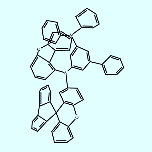 c1ccc(-c2cc(N(c3ccccc3)c3ccccc3)cc(N(c3ccc4c(c3)C3(c5ccccc5O4)c4ccccc4-c4ccccc43)c3cccc4oc5ccccc5c34)c2)cc1